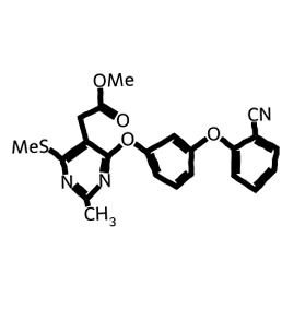 COC(=O)Cc1c(Oc2cccc(Oc3ccccc3C#N)c2)nc(C)nc1SC